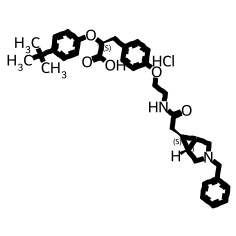 CC(C)(C)c1ccc(O[C@@H](Cc2ccc(OCCNC(=O)C[C@H]3C4CN(Cc5ccccc5)C[C@@H]43)cc2)C(=O)O)cc1.Cl